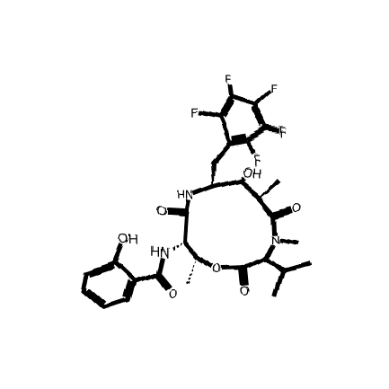 CC(C)C1C(=O)O[C@H](C)[C@H](NC(=O)c2ccccc2O)C(=O)N[C@@H](Cc2c(F)c(F)c(F)c(F)c2F)[C@@H](O)[C@@H](C)C(=O)N1C